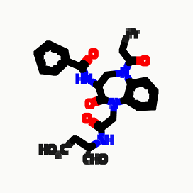 CC(C)CC(=O)N1CC(NC(=O)c2ccccc2)C(=O)N(CC(=O)N[C@H](C=O)CC(=O)O)c2ccccc21